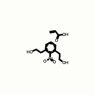 C=CC(=O)O.O=[N+]([O-])c1c(CCO)cccc1CCO